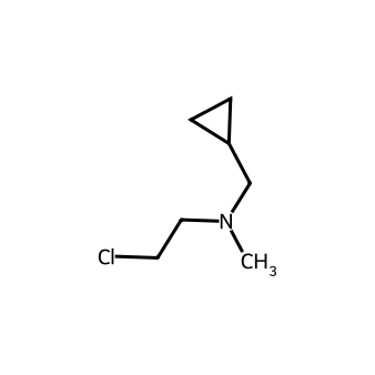 CN(CCCl)CC1CC1